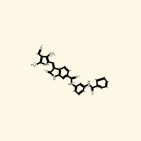 Cc1[nH]c(/C=C2\C(=O)Nc3cc(C(=O)Nc4cccc(NC(=O)c5ccccc5)c4)ccc32)c(C)c1C=O